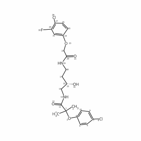 CC(C)(Oc1ccc(Cl)cc1)C(=O)NC[C@@H](O)CCNC(=O)COc1ccc(Cl)c(F)c1